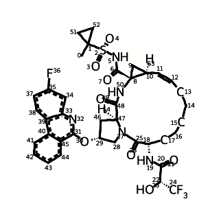 CC1(S(=O)(=O)NC(=O)[C@@]23C[C@H]2/C=C\CCCCC[C@H](NC(=O)[C@@H](O)C(F)(F)F)C(=O)N2C[C@H](Oc4nc5cc(F)ccc5c5ccccc45)C[C@H]2C(=O)N3)CC1